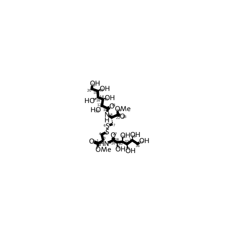 COC(=O)C(CSSC[C@H](NC(=O)[C@H](O)[C@@H](O)[C@H](O)[C@H](O)CO)C(=O)OC)NC(=O)[C@H](O)[C@@H](O)[C@H](O)[C@H](O)CO